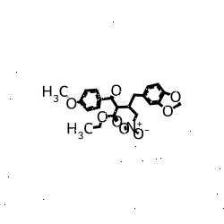 CCOC(=O)C(C(=O)c1ccc(OC)cc1)C(Cc1ccc2c(c1)OCO2)C[N+](=O)[O-]